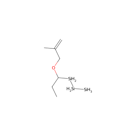 C=C(C)COC(CC)[SiH2][SiH2][SiH3]